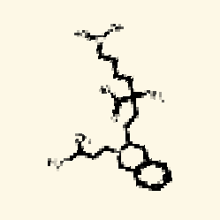 CC(C)CCN1Cc2ccccc2CC1CCC(N)(CCCCB(O)O)C(=O)O